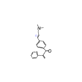 C=C(C(=O)c1ccc(/C=C/CN(C)C)cc1)c1ccccc1